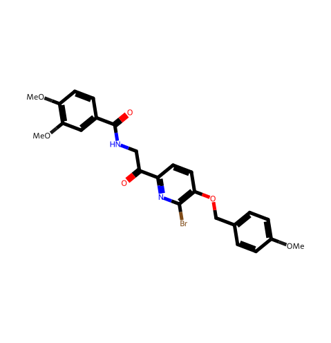 COc1ccc(COc2ccc(C(=O)CNC(=O)c3ccc(OC)c(OC)c3)nc2Br)cc1